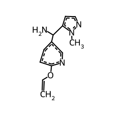 C=COc1ccc(C(N)c2ccnn2C)cn1